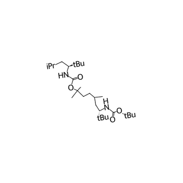 CC(C)C[C@H](NC(=O)OC(C)(C)CCC(C)C[C@H](NC(=O)OC(C)(C)C)C(C)(C)C)C(C)(C)C